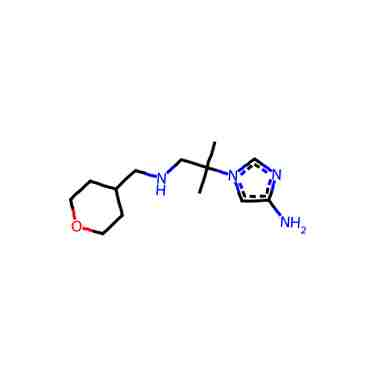 CC(C)(CNCC1CCOCC1)n1cnc(N)c1